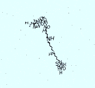 CC1(C)O[C@@H]2[C@H](O1)[C@@H](CNC(=O)CCCCCNCCCCCCNCCCCC[C@@H]1SC[C@@H]3NC(=O)N[C@@H]31)O[C@H]2n1cnc2c(N)ncnc21